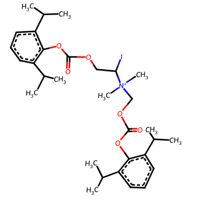 CC(C)c1cccc(C(C)C)c1OC(=O)OCC(I)[N+](C)(C)COC(=O)Oc1c(C(C)C)cccc1C(C)C